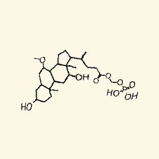 COC1CC2CC(O)CCC2(C)C2CC(O)C3(C)C(C(C)CCC(=O)OCOP(=O)(O)O)CCC3C12